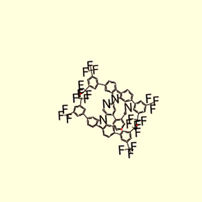 N#Cc1ccccc1-c1cc(-n2c3cc(-c4cc(C(F)(F)F)cc(C(F)(F)F)c4)ccc3c3ccc(-c4cc(C(F)(F)F)cc(C(F)(F)F)c4)cc32)ncc1-n1c2cc(-c3cc(C(F)(F)F)cc(C(F)(F)F)c3)ccc2c2ccc(-c3cc(C(F)(F)F)cc(C(F)(F)F)c3)cc21